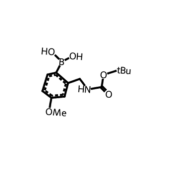 COc1ccc(B(O)O)c(CNC(=O)OC(C)(C)C)c1